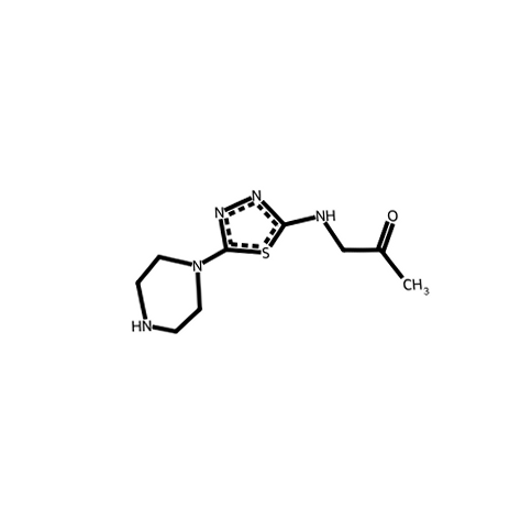 CC(=O)CNc1nnc(N2CCNCC2)s1